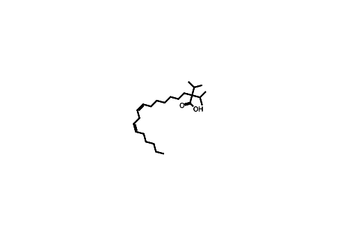 CCCCC/C=C\C/C=C\CCCCCCC(C(=O)O)(C(C)C)C(C)C